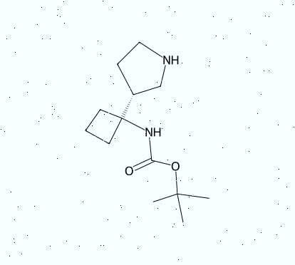 CC(C)(C)OC(=O)NC1([C@@H]2CCNC2)CCC1